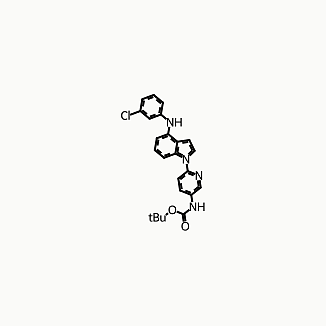 CC(C)(C)OC(=O)Nc1ccc(-n2ccc3c(Nc4cccc(Cl)c4)cccc32)nc1